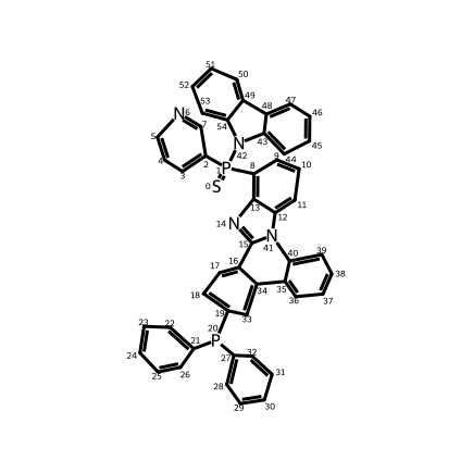 S=P(c1cccnc1)(c1cccc2c1nc1c3ccc(P(c4ccccc4)c4ccccc4)cc3c3ccccc3n21)n1c2ccccc2c2ccccc21